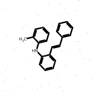 Cc1ccccc1Nc1ccccc1C=Cc1ccccc1